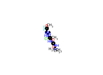 COc1ccc(-c2cnc3c(Nc4ccc(C(=O)NC5CCC(NC(=O)C[N+](C)(C)C)CC5)c(C)c4)nccn23)c(F)c1F.[Cl-]